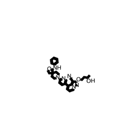 CCC1(C(=O)Nc2ccccc2)CCN(c2ccc(-c3cccn4nc(OCCC(C)O)c(C#N)c34)cn2)CC1